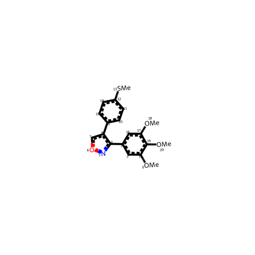 COc1cc(-c2nocc2-c2ccc(SC)cc2)cc(OC)c1OC